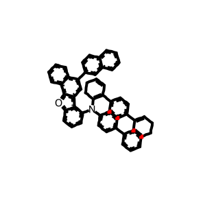 C1=CC(c2ccc(C3=C(N(c4ccc(-c5ccccc5)cc4)c4cccc5oc6c7ccccc7c(-c7ccc8ccccc8c7)cc6c45)CCC=C3)cc2)=CCC1